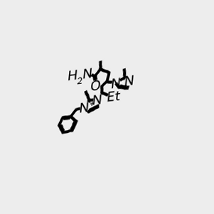 CCC(CC(CC(C)C(N)=O)n1ccnc1C)n1cc[n+](Cc2ccccc2)c1C